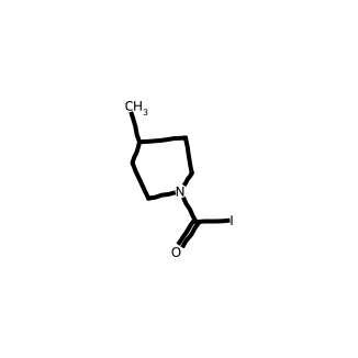 CC1CCN(C(=O)I)CC1